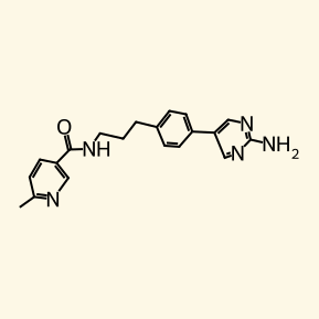 Cc1ccc(C(=O)NCCCc2ccc(-c3cnc(N)nc3)cc2)cn1